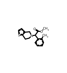 COC(=O)C(c1ccccc1C)N1CCc2sccc2C1